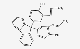 CC=Cc1cc(C2(c3ccc(O)c(C=CC)c3)c3ccccc3-c3ccccc32)ccc1O